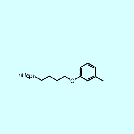 CCCCCCCCCCCOc1cccc(C)c1